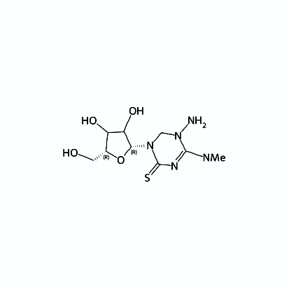 CNC1=NC(=S)N([C@@H]2O[C@H](CO)C(O)C2O)CN1N